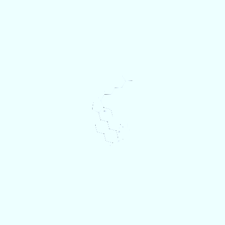 CC(C)CCC[C@@H](C)[C@H]1CCC2C3CCC4C[C@@H](C)[C@@H](O)[C@H](N)[C@]4(C)C3CC[C@@]21C